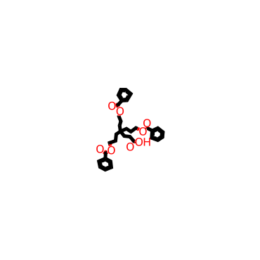 O=C(O)CCC(CCCOC(=O)c1ccccc1)(CCCOC(=O)c1ccccc1)CCCOC(=O)c1ccccc1